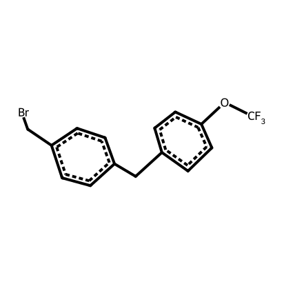 FC(F)(F)Oc1ccc(Cc2ccc(CBr)cc2)cc1